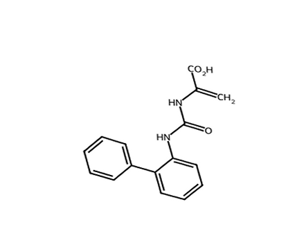 C=C(NC(=O)Nc1ccccc1-c1ccccc1)C(=O)O